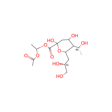 CC(=O)OC(C)OC(=O)C1(O)CC(O)C([C@@H](C)O)C(C[C@H](O)CO)O1